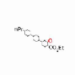 CCC[C@H]1CC[C@H]([C@H]2CC[C@H](C3CCC(C(=O)OCC)C(=O)C3)CC2)CC1